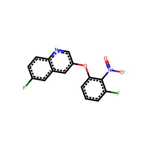 O=[N+]([O-])c1c(F)cccc1Oc1cnc2ccc(F)cc2c1